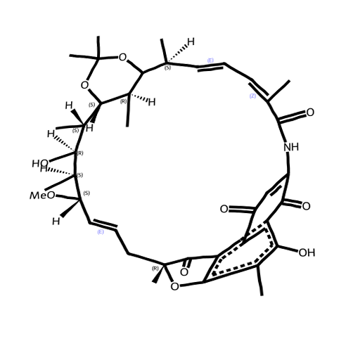 CO[C@H]1/C=C/C[C@@]2(C)Oc3c(C)c(O)c4c(c3C2=O)C(=O)C=C(NC(=O)/C(C)=C\C=C\[C@H](C)C2OC(C)(C)O[C@@H]([C@@H](C)[C@H](O)[C@@H]1C)[C@@H]2C)C4=O